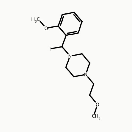 COCCN1CCN(C(I)c2ccccc2OC)CC1